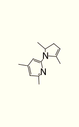 CC1=CCC(C)N1c1cc(C)cc(C)n1